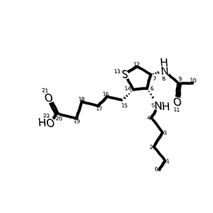 CCCCCN[C@H]1[C@@H](NC(C)=O)CS[C@H]1CCCCCC(=O)O